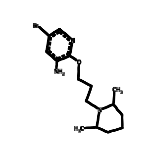 CC1CCCC(C)N1CCCOc1ncc(Br)cc1N